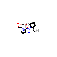 Cc1cccc(C)c1NC(=O)[C@@H]1CCCN1CCO